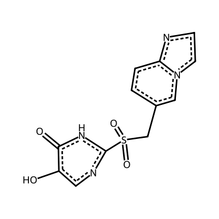 O=c1[nH]c(S(=O)(=O)Cc2ccc3nccn3c2)ncc1O